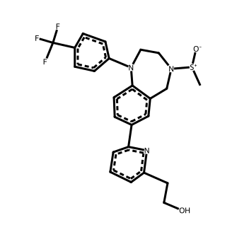 C[S+]([O-])N1CCN(c2ccc(C(F)(F)F)cc2)c2ccc(-c3cccc(CCO)n3)cc2C1